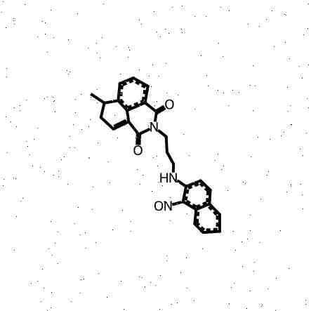 CC1CC=C2C(=O)N(CCCNc3ccc4ccccc4c3N=O)C(=O)c3cccc1c32